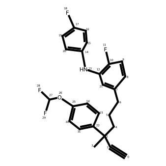 C#CC(C)(CCCc1ccc(F)c(Nc2ccc(F)cc2)c1)c1ccc(OC(F)F)cc1